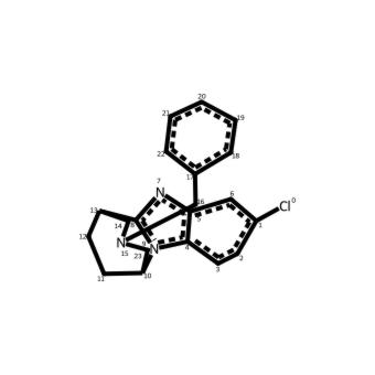 Clc1ccc2c(c1)nc1n2C2CCC1CN(Cc1ccccc1)C2